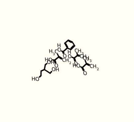 C=C(C)C(=O)O.C=C(C)C(=O)O.C=C(C)C(=O)O.O=C(O)c1ccccc1.OCCC(CO)CO